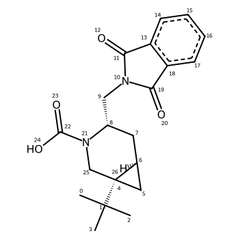 CC(C)(C)[C@@]12C[C@@H]1C[C@@H](CN1C(=O)c3ccccc3C1=O)N(C(=O)O)C2